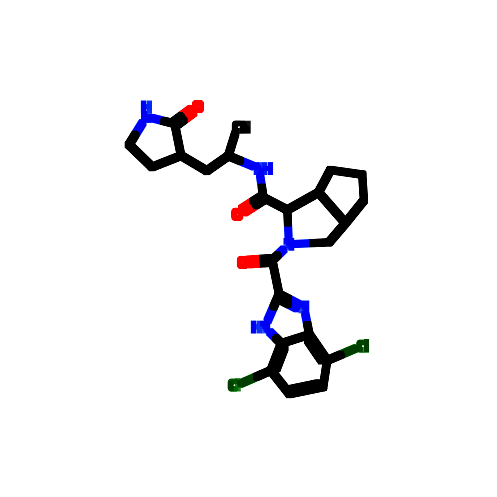 N#CC(CC1CCNC1=O)NC(=O)C1C2CCCC2CN1C(=O)c1nc2c(Cl)ccc(Cl)c2[nH]1